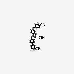 Cl.N#Cc1ccc(Cc2ccc3c(cnn3Cc3ccc(-c4cccc(C(F)(F)F)c4)cc3)c2)cc1